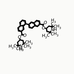 CC1(C)CC(OC(=O)c2ccc3cc(-c4cccc5ccc(C(=O)OC6CC(C)(C)NC(C)(C)C6)cc45)ccc3c2)CC(C)(C)N1